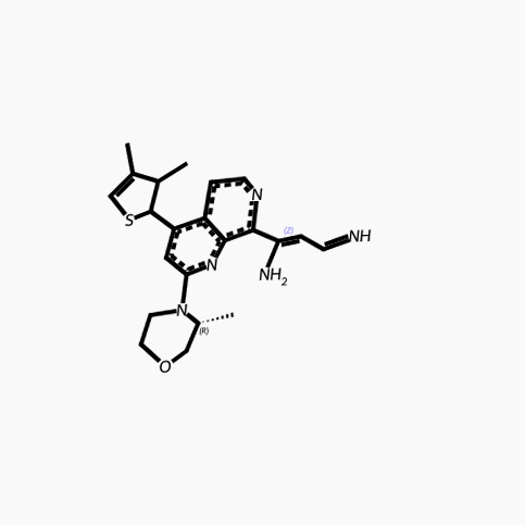 CC1=CSC(c2cc(N3CCOC[C@H]3C)nc3c(/C(N)=C/C=N)nccc23)C1C